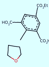 C1CCOC1.CCOC(=O)c1cc(C(=O)O)c(C)c(C(=O)O)c1